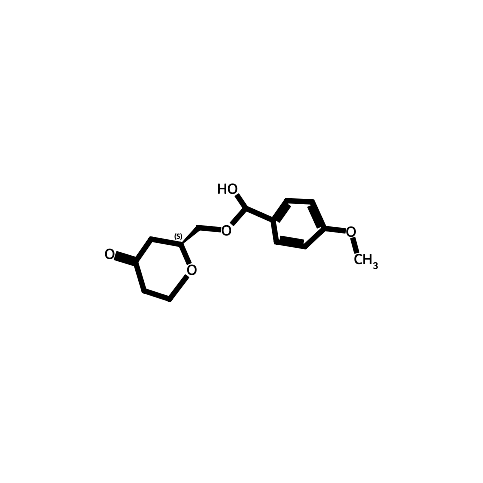 COc1ccc(C(O)OC[C@@H]2CC(=O)CCO2)cc1